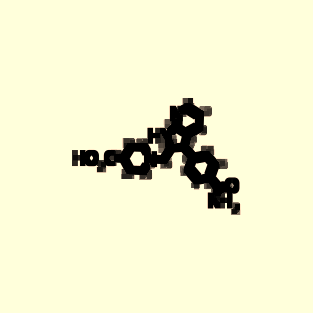 NC(=O)c1ccc(C2c3cccnc3NC2CN2CCC(C(=O)O)CC2)cc1